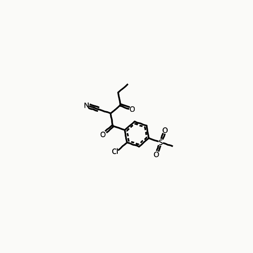 CCC(=O)C(C#N)C(=O)c1ccc(S(C)(=O)=O)cc1Cl